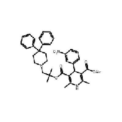 COC(=O)C1=C(C)NC(C)=C(C(=O)OC(C)(C)CN2CCC(c3ccccc3)(c3ccccc3)CC2)C1c1cccc([N+](=O)[O-])c1